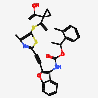 C=C(O)C1(C(=C)Sc2sc(C#Cc3oc4ccccc4c3NC(=O)OC(C)c3ccccc3C)nc2C)CC1